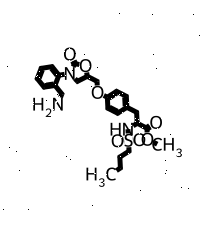 CCCCS(=O)(=O)NC(Cc1ccc(OCC2CN(c3ccccc3CN)C(=O)O2)cc1)C(=O)OC